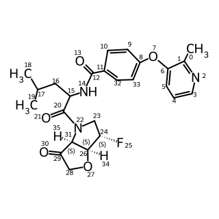 Cc1ncccc1Oc1ccc(C(=O)NC(CC(C)C)C(=O)N2C[C@H](F)[C@H]3OCC(=O)[C@H]32)cc1